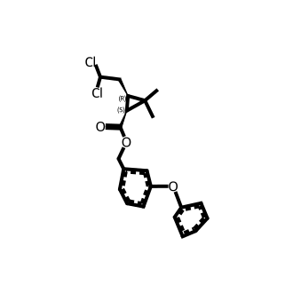 CC1(C)[C@H](CC(Cl)Cl)[C@@H]1C(=O)OCc1cccc(Oc2ccccc2)c1